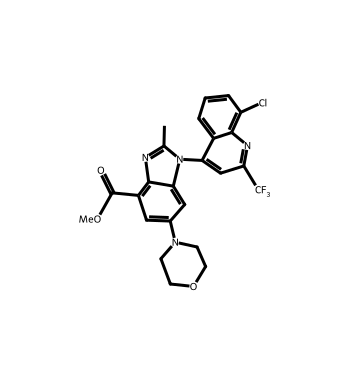 COC(=O)c1cc(N2CCOCC2)cc2c1nc(C)n2-c1cc(C(F)(F)F)nc2c(Cl)cccc12